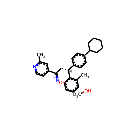 Cc1cc(/C(C[C@H](c2ccc(C3CCCCC3)cc2)c2ccccc2C)=N/O)ccn1.O=C(O)O